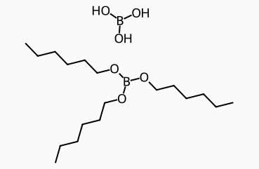 CCCCCCOB(OCCCCCC)OCCCCCC.OB(O)O